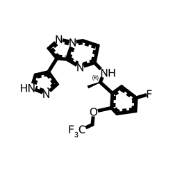 C[C@@H](Nc1ccn2ncc(-c3cn[nH]c3)c2n1)c1cc(F)ccc1OCC(F)(F)F